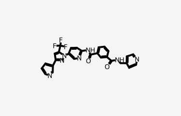 O=C(NCc1ccncc1)c1cccc(C(=O)Nc2ccc(-n3nc(-c4cccnc4)cc3C(F)(F)F)cn2)c1